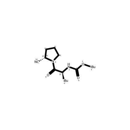 CCC(C)[C@H](NC(=O)OC(C)(C)C)C(=O)N1C[CH][CH][C@H]1C#N